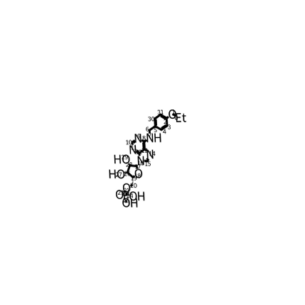 CCOc1ccc(CNc2ncnc3c2ncn3[C@@H]2O[C@H](COP(=O)(O)O)[C@@H](O)[C@H]2O)cc1